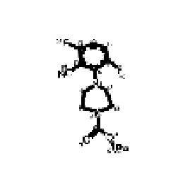 CC(C)(C)OC(=O)N1CCN(c2c(F)ccc(F)c2C#N)CC1